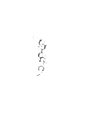 Cc1cn2nc(-c3ccc4c(=O)n(C5CCN(CCF)CC5)ncc4n3)cc(C)c2n1